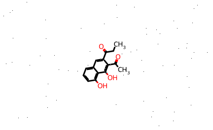 CCC(=O)c1cc2cccc(O)c2c(O)c1C(C)=O